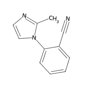 Cc1nccn1-c1ccccc1C#N